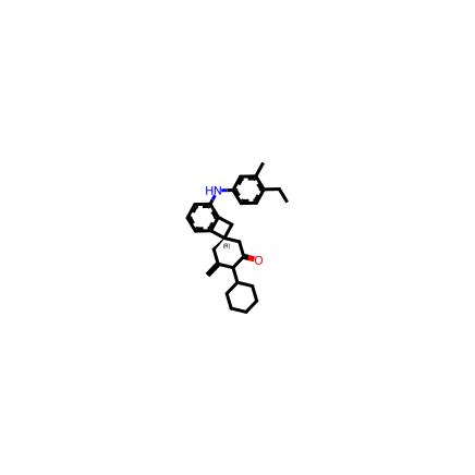 C=C1C[C@]2(CC(=O)C1C1CCCCC1)Cc1c(Nc3ccc(CC)c(C)c3)cccc12